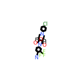 C[C@]12CN(c3ccc(Cl)cc3)C[C@](C)(O1)[C@@H]1C(=O)N(c3ccc(C#N)c(C(F)(F)F)c3)C(=O)[C@@H]12